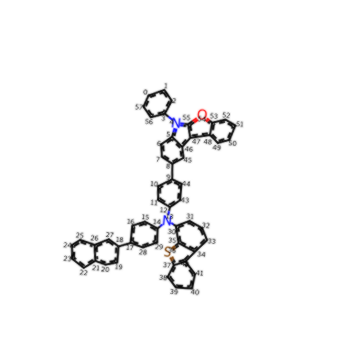 c1ccc(-n2c3ccc(-c4ccc(N(c5ccc(-c6ccc7ccccc7c6)cc5)c5cccc6c5sc5ccccc56)cc4)cc3c3c4ccccc4oc32)cc1